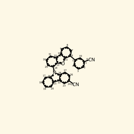 N#Cc1cccc(-c2cccc3c2oc2c(-n4c5ccccc5c5cc(C#N)ccc54)cccc23)c1